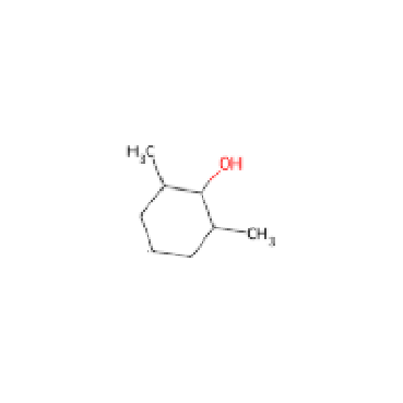 CC1C[CH]CC(C)C1O